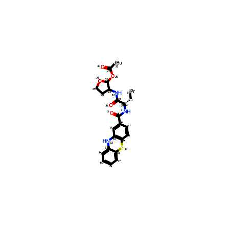 CC(C)C[C@H](NC(=O)c1ccc2c(c1)Nc1ccccc1S2)C(=O)NC1CCOC1OC(=O)C(C)(C)C